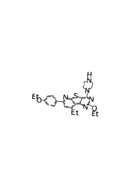 CCOc1ccc(-c2cc(CC)c3c(n2)sc2c(N4CCNCC4)nc(OCC)nc23)cc1